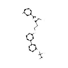 Cc1oc(-c2cccc(F)c2)nc1CCOc1cccc(-c2cccc(OC(C)(C)C(=O)O)c2)c1